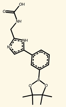 CC1(C)OB(c2cccc(-c3cnc(CNC(=O)O)[nH]3)c2)OC1(C)C